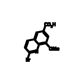 COc1cc(C(=O)O)cc2ccc(Br)nc12